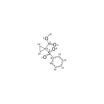 COC(=O)C1(S(=O)(=O)c2ccccc2)CC1